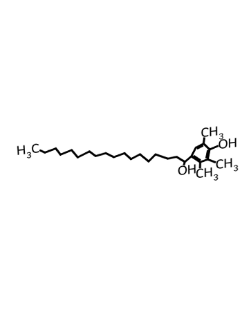 CCCCCCCCCCCCCCCCCC(O)c1cc(C)c(O)c(C)c1C